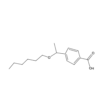 CCCCCCOC(C)c1ccc(C(=O)O)cc1